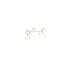 CC(C)Oc1ccc(-c2nc(-c3cccc4c3CC3CCN(CCO)C43)no2)cc1C#N